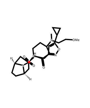 COCCN(C)C1CCN(S(=O)(=O)N2[C@@H]3CC[C@H]2C[C@@H](NC(=O)c2cc(C4CC4)on2)C3)CC1